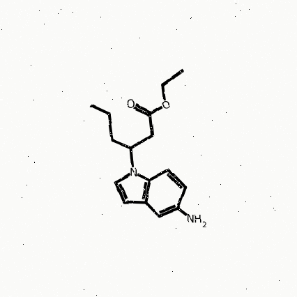 CCCC(CC(=O)OCC)n1ccc2cc(N)ccc21